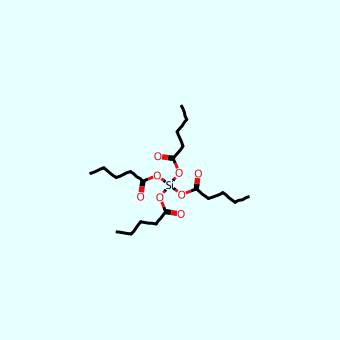 CCCCC(=O)O[Si](OC(=O)CCCC)(OC(=O)CCCC)OC(=O)CCCC